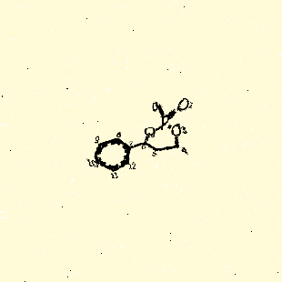 CP1(=O)OCCC(c2ccccc2)O1